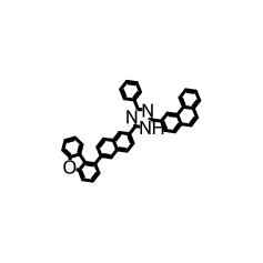 c1ccc(C2=NC(c3ccc4cc(-c5cccc6oc7ccccc7c56)ccc4c3)NC(c3ccc4ccc5ccccc5c4c3)=N2)cc1